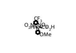 COc1cccc(N(CCC(=O)O)Nc2c([N+](=O)[O-])cc(C(F)(F)F)cc2[N+](=O)[O-])c1